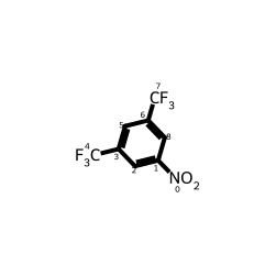 O=[N+]([O-])c1[c]c(C(F)(F)F)cc(C(F)(F)F)c1